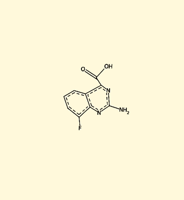 Nc1nc(C(=O)O)c2cccc(F)c2n1